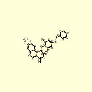 COc1ccc2c3c(cnc2c1)NCC(=O)N3Cc1c(F)cc(SCc2ccccc2)cc1F